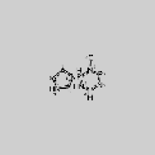 Cln1pn[pH][nH][pH]1.c1c[nH]cn1